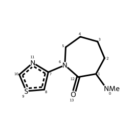 CNC1CCCCN(c2cscn2)C1=O